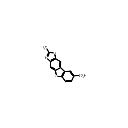 Cc1nc2cc3oc4ccc(S(=O)(=O)O)cc4c3cc2o1